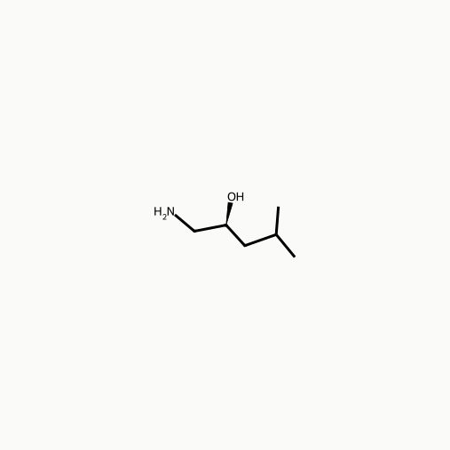 CC(C)C[C@H](O)CN